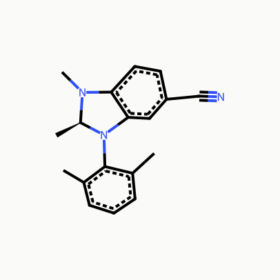 Cc1cccc(C)c1N1c2cc(C#N)ccc2N(C)[C@@H]1C